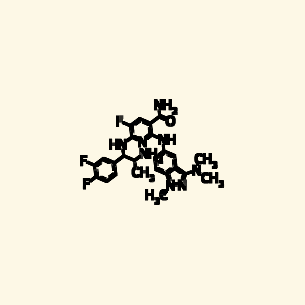 C[C@H](N)[C@H](Nc1nc(Nc2ccc3c(c2)c(N(C)C)nn3C)c(C(N)=O)cc1F)c1ccc(F)c(F)c1